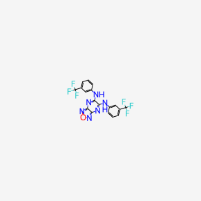 FC(F)(F)c1cccc(Nc2nc3nonc3nc2Nc2cccc(C(F)(F)F)c2)c1